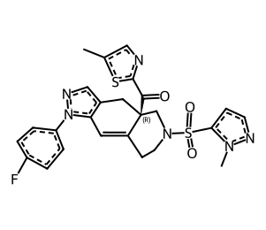 Cc1cnc(C(=O)[C@]23Cc4cnn(-c5ccc(F)cc5)c4C=C2CCN(S(=O)(=O)c2ccnn2C)C3)s1